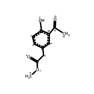 COC(=O)Cc1ccc(O)c(C(C)=O)c1